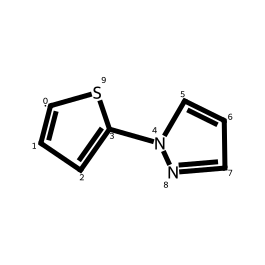 [c]1ccc(-n2cccn2)s1